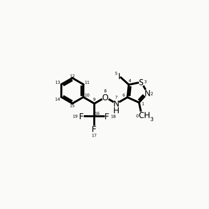 Cc1nsc(I)c1NOC(c1ccccc1)C(F)(F)F